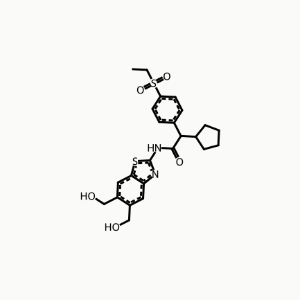 CCS(=O)(=O)c1ccc(C(C(=O)Nc2nc3cc(CO)c(CO)cc3s2)C2CCCC2)cc1